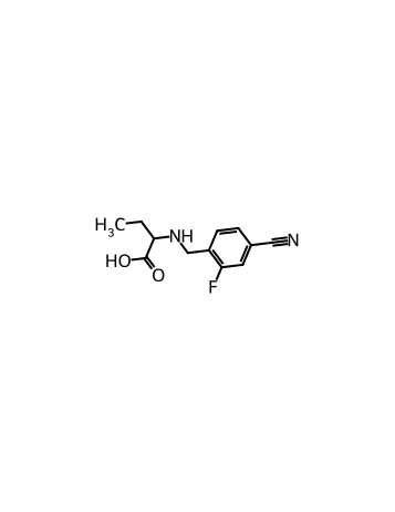 CCC(NCc1ccc(C#N)cc1F)C(=O)O